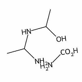 CC(N)NC(C)O.NC(=O)O